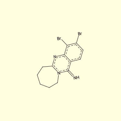 N=c1c2ccc(Br)c(Br)c2nc2n1CCCCC2